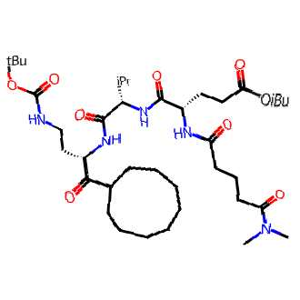 CC(C)COC(=O)CC[C@H](NC(=O)CCCC(=O)N(C)C)C(=O)N[C@H](C(=O)N[C@@H](CCNC(=O)OC(C)(C)C)C(=O)C1CCCCCCCC1)C(C)C